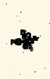 CCC(=O)Oc1c(-c2ccc(F)cc2)n(C)c2c(F)cc(Br)cc12